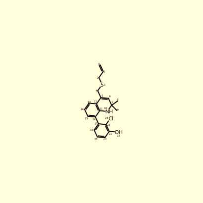 C=CCSCC1=CC(C)(C)Nc2c1cccc2-c1cccc(O)c1Cl